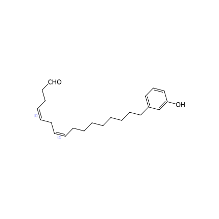 O=CCC/C=C\C/C=C\CCCCCCCCc1cccc(O)c1